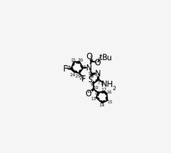 CC(C)(C)OC(=O)N(c1nc(N)c(C(=O)c2ccccc2)s1)c1ccc(F)cc1F